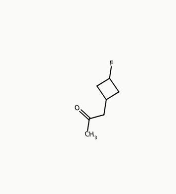 CC(=O)CC1CC(F)C1